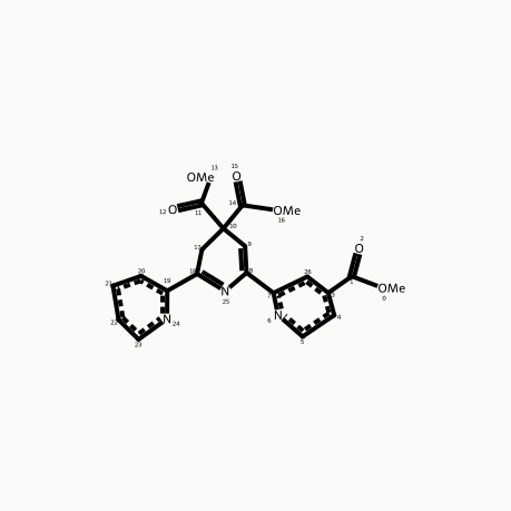 COC(=O)c1ccnc(C2=CC(C(=O)OC)(C(=O)OC)CC(c3ccccn3)=N2)c1